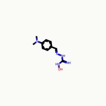 CN(C)c1ccc(/C=N/NC(=N)NO)cc1